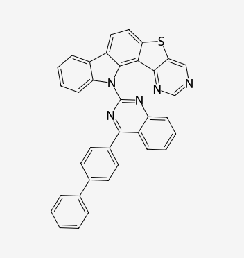 c1ccc(-c2ccc(-c3nc(-n4c5ccccc5c5ccc6sc7cncnc7c6c54)nc4ccccc34)cc2)cc1